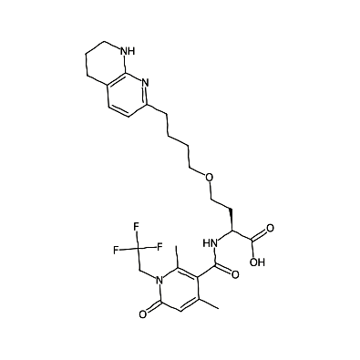 Cc1cc(=O)n(CC(F)(F)F)c(C)c1C(=O)N[C@@H](CCOCCCCc1ccc2c(n1)NCCC2)C(=O)O